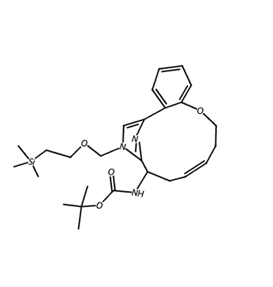 CC(C)(C)OC(=O)NC1CC=CCCOc2ccccc2-c2cn(COCC[Si](C)(C)C)c1n2